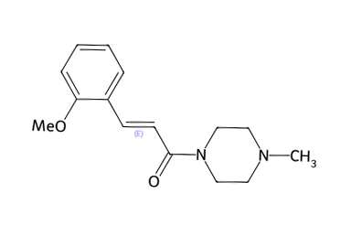 COc1ccccc1/C=C/C(=O)N1CCN(C)CC1